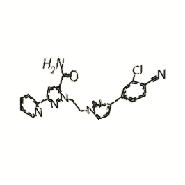 N#Cc1ccc(-c2ccn(CCn3nc(-c4ccccn4)cc3C(N)=O)n2)cc1Cl